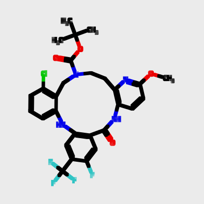 COc1ccc2c(n1)CCN(C(=O)OC(C)(C)C)Cc1c(Cl)cccc1Nc1cc(C(F)(F)F)c(F)cc1C(=O)N2